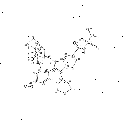 CCN(C)S(=O)(=O)NC(=O)c1ccc2c(C3CCCCC3)c3n(c2c1)CC(C)(C(=O)N1C2CC1CN(C)C2)C(C)c1cc(OC)ccc1-3